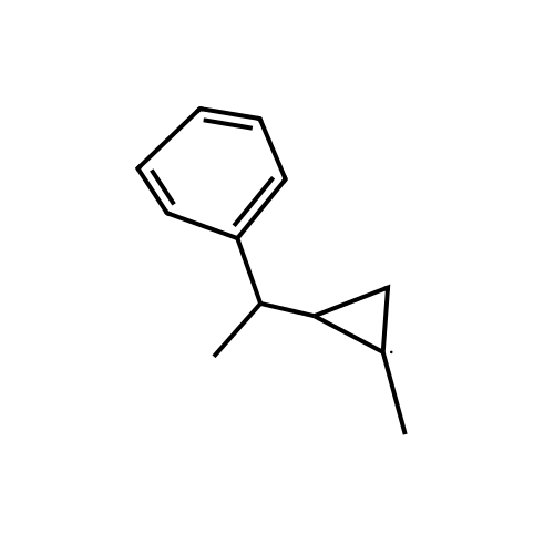 C[C]1CC1C(C)c1ccccc1